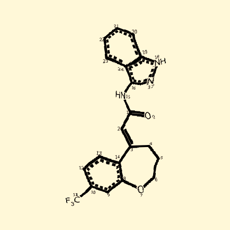 O=C(C=C1CCCOc2cc(C(F)(F)F)ccc21)Nc1n[nH]c2ccccc12